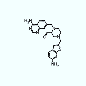 Nc1ccc2cc(CN3CCN(Cc4ccc5c(N)ncnc5c4)C(C=O)C3)sc2c1